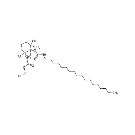 CCCCCCCCCCCCCCCCCCNC(=O)O[N+]1(C=CC(=O)OCC)C(C)(C)CCCC1(C)C